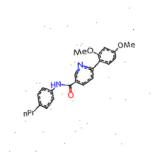 CCCc1ccc(NC(=O)c2ccc(-c3ccc(OC)cc3OC)nc2)cc1